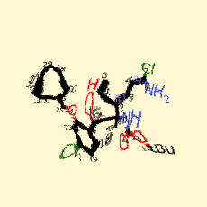 C=C/C(=C\C=C(/N)Cl)C(C)(NC(=O)OC(C)(C)C)C(O)c1ccc(Cl)cc1OCc1ccccc1